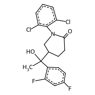 CC(O)(c1ccc(F)cc1F)C1CCC(=O)N(c2c(Cl)cccc2Cl)C1